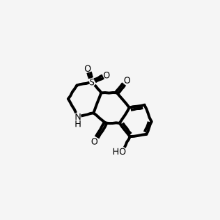 O=C1c2c(O)cccc2C(=O)C2C1NCCS2(=O)=O